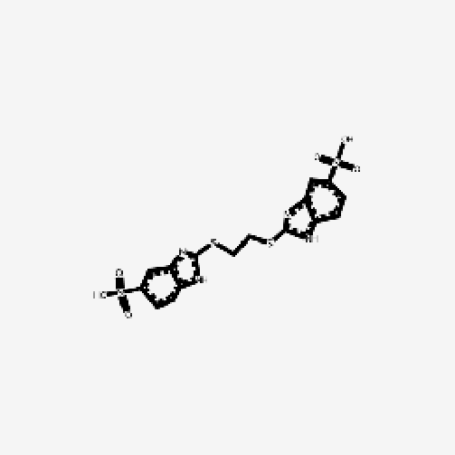 O=S(=O)(O)c1ccc2[nH]c(SCCSc3nc4cc(S(=O)(=O)O)ccc4[nH]3)nc2c1